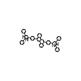 c1ccc(-c2cc(-c3ccc(-c4cc5c6ccccc6c(-c6ccc(-c7cc(-c8ccccc8)nc(-c8ccccc8)n7)cc6)cc5c5ccccc45)cc3)nc(-c3ccccc3)n2)cc1